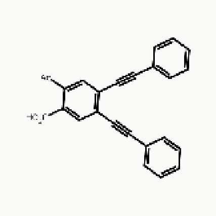 CC(=O)c1cc(C#Cc2ccccc2)c(C#Cc2ccccc2)cc1C(=O)O